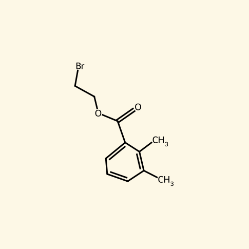 Cc1cccc(C(=O)OCCBr)c1C